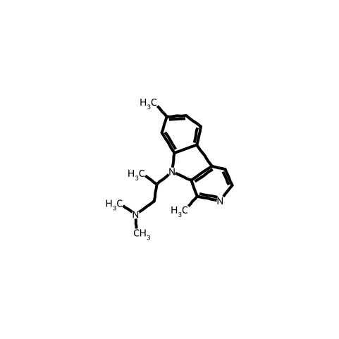 Cc1ccc2c3ccnc(C)c3n(C(C)CN(C)C)c2c1